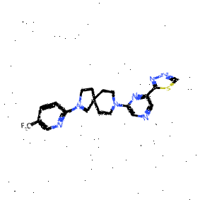 FC(F)(F)c1ccc(N2CCC3(CCN(c4cncc(-c5nncs5)n4)CC3)C2)nc1